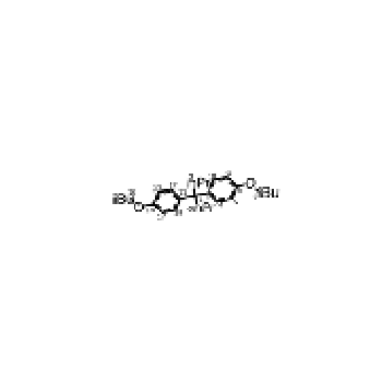 CCCC(CCC)(c1ccc(OC(C)CC)cc1)c1ccc(OC(C)CC)cc1